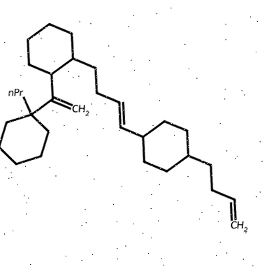 C=CCCC1CCC(/C=C/CCC2CCCCC2C(=C)C2(CCC)CCCCC2)CC1